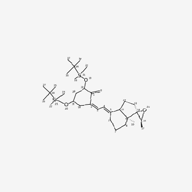 C=C1/C(=C\C=C2/CCC[C@@]3(C)C2CC[C@@]32O[C@H]2C)CC(O[Si](C)(C)C(C)(C)C)CC1O[Si](C)(C)C(C)(C)C